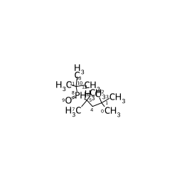 CC(C)(C)CC(C)(C)[PH](=O)C(C)(C)C